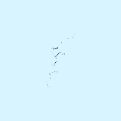 CCCCOc1noc(/C=N/[S@@+]([O-])CCCC)c1Br